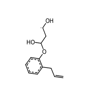 C=CCc1ccccc1OC(O)C[CH]O